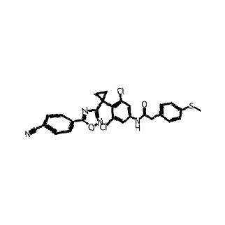 CSc1ccc(CC(=O)Nc2cc(Cl)c(C3(c4noc(-c5ccc(C#N)cc5)n4)CC3)c(Cl)c2)cc1